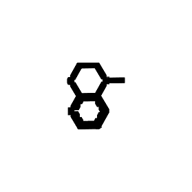 CN1CCOc2nc[c]cc21